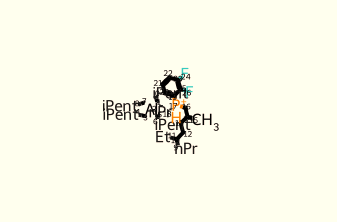 CCCC(C)[CH2][Al-]([CH2]C(C)CCC)([CH2]C(C)CCC)[CH2]C(C)CCC.CCCC(CC)CCC(C)C[PH+](CCC)c1cccc(F)c1F